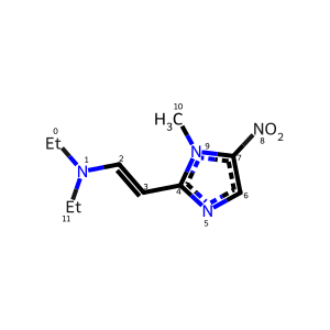 CCN(C=Cc1ncc([N+](=O)[O-])n1C)CC